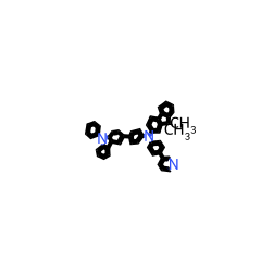 CC1(C)c2ccccc2-c2ccc(N(c3ccc(C4=CC5c6ccccc6N(c6ccccc6)C5C=C4)cc3)c3ccc(-c4cccnc4)cc3)cc21